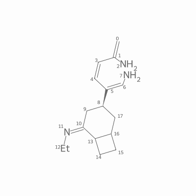 C=C(N)/C=C\C(=C/N)[C@@H]1C/C(=N/CC)C2CCC2C1